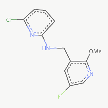 COc1ncc(F)cc1CNc1cccc(Cl)n1